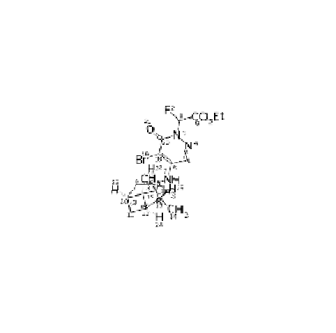 CCOC(=O)C(F)n1ncc(N[C@@H]2C[C@@H]3C[C@H]([C@H]2C)C3(C)C)c(Br)c1=O